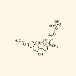 CCOC1CCC2(C)C(C1)CC(O)C1C2CC(O)C2(C)C(C(C)CCC(=O)OCOP(=O)(O)O)CCC12